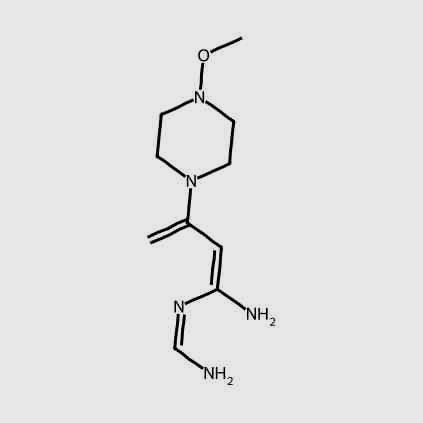 C=C(/C=C(N)\N=C/N)N1CCN(OC)CC1